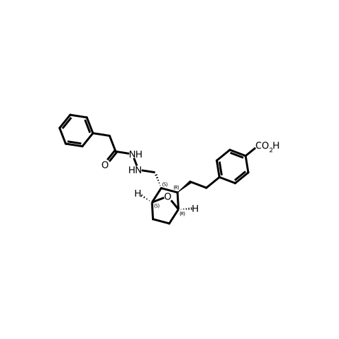 O=C(Cc1ccccc1)NNC[C@@H]1[C@@H](CCc2ccc(C(=O)O)cc2)[C@H]2CC[C@@H]1O2